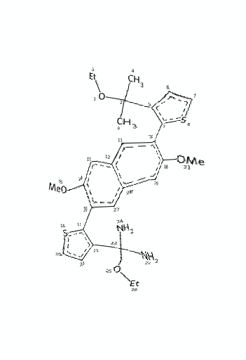 CCOC(C)(C)c1ccsc1-c1cc2cc(OC)c(-c3sccc3C(N)(N)OCC)cc2cc1OC